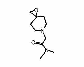 CN(C)C(=O)CN1CCC2(CC1)CO2